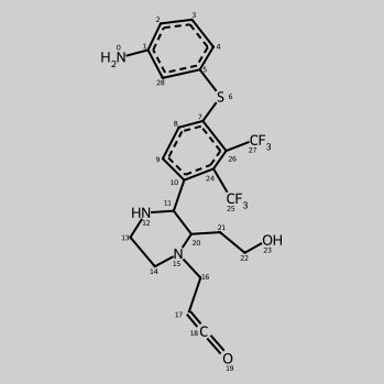 Nc1cccc(Sc2ccc(C3NCCN(CC=C=O)C3CCO)c(C(F)(F)F)c2C(F)(F)F)c1